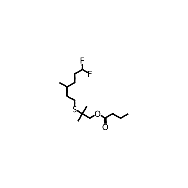 CCCC(=O)OCC(C)(C)SCCC(C)CCC(F)F